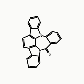 S=c1c2ccccc2n2c3ccccc3c3ccc4c5ccccc5n1c4c32